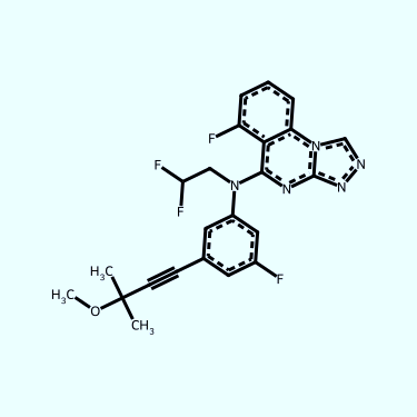 COC(C)(C)C#Cc1cc(F)cc(N(CC(F)F)c2nc3nncn3c3cccc(F)c23)c1